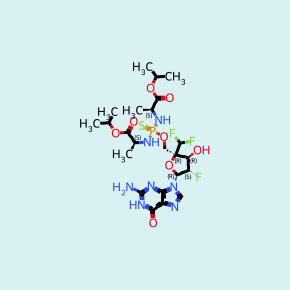 CC(C)OC(=O)[C@H](C)NP(=S)(N[C@@H](C)C(=O)OC(C)C)OC[C@@]1(C(F)F)O[C@@H](n2cnc3c(=O)[nH]c(N)nc32)[C@@H](F)[C@@H]1O